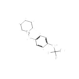 FC(F)(F)Oc1ccc(SN2CCCCC2)cc1